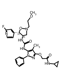 COCCN1C[C@@H](NC(=O)Nc2c(C)c(OCC(=O)NC3CC3)nn2-c2ccccc2)[C@H](c2ccnc(F)c2)O1